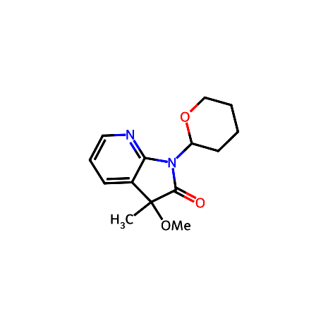 COC1(C)C(=O)N(C2CCCCO2)c2ncccc21